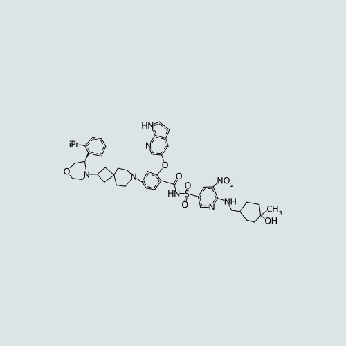 CC(C)c1ccccc1[C@@H]1COCCN1C1CC2(CCN(c3ccc(C(=O)NS(=O)(=O)c4cnc(NCC5CCC(C)(O)CC5)c([N+](=O)[O-])c4)c(Oc4cnc5[nH]ccc5c4)c3)CC2)C1